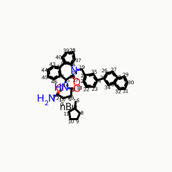 CCCC[C@H](C(N)=O)[C@@H](CC1CCCC1)C(=O)NC1C(=O)N(Cc2cccc(-c3ccc4ccccc4c3)c2)c2ccccc2-c2ccccc21